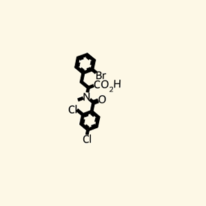 CN(C(=O)c1ccc(Cl)cc1Cl)C(Cc1ccccc1Br)C(=O)O